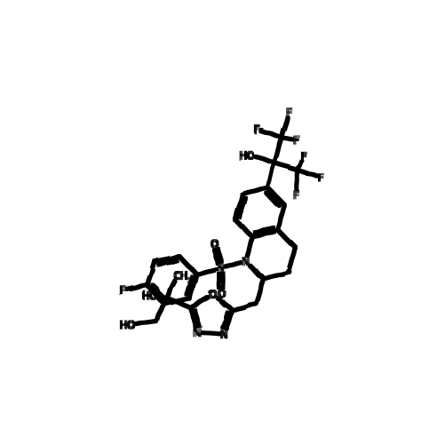 CC(O)(CO)c1nnc(CC2CCc3cc(C(O)(C(F)(F)F)C(F)(F)F)ccc3N2S(=O)(=O)c2ccc(F)cc2)o1